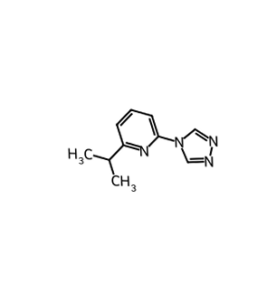 CC(C)c1cccc(-n2cnnc2)n1